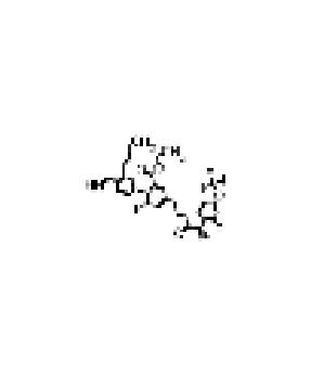 CCCCc1cc(-c2c(F)cc(CCCC(=O)C3(c4ccc(OC(F)(I)I)cc4F)CC3)cc2C(=O)OCC)ccc1C=N